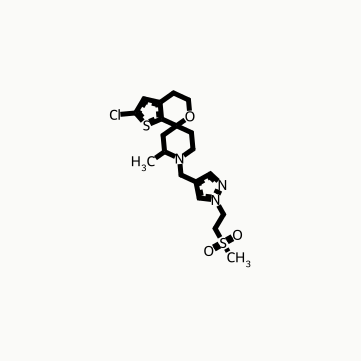 CC1CC2(CCN1Cc1cnn(CCS(C)(=O)=O)c1)OCCc1cc(Cl)sc12